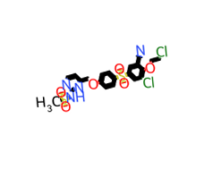 CS(=O)(=O)Nc1nccc(COc2ccc(S(=O)(=O)c3cc(Cl)c(OCCCl)c(C#N)c3)cc2)n1